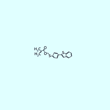 C=C(C)C(=O)OCSc1ccc(-c2cc3ccccc3s2)cc1